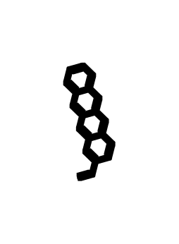 C=Cc1ccc2cc3cc4ccccc4cc3cc2c1